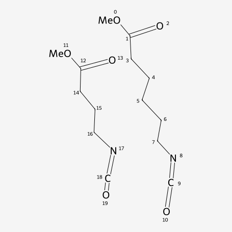 COC(=O)CCCCCN=C=O.COC(=O)CCCN=C=O